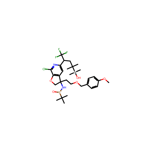 COc1ccc(COCCC2(N[S+]([O-])C(C)(C)C)COc3c2cc(C(CC(C)(C)[Si](C)(C)O)C(F)(F)F)nc3Cl)cc1